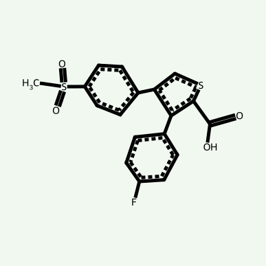 CS(=O)(=O)c1ccc(-c2csc(C(=O)O)c2-c2ccc(F)cc2)cc1